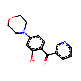 O=C(c1cccnc1)c1ccc(N2CCOCC2)cc1O